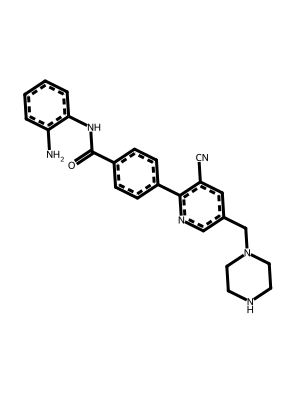 N#Cc1cc(CN2CCNCC2)cnc1-c1ccc(C(=O)Nc2ccccc2N)cc1